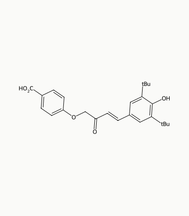 CC(C)(C)c1cc(C=CC(=O)COc2ccc(C(=O)O)cc2)cc(C(C)(C)C)c1O